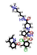 Cc1cc(C)c2cccc(OCc3c(Cl)ccc(S(=O)(=O)NC4(C(=O)N5CCC(C(=O)NCCCCC[N+](C)(C)C)CC5)CCCC4)c3Cl)c2n1